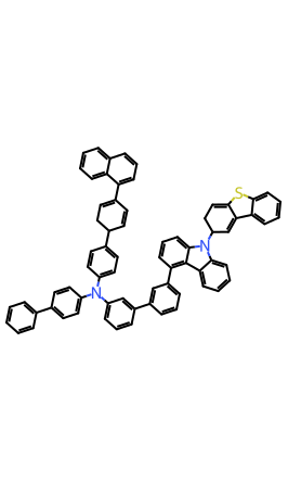 C1=CC(c2ccc(N(c3ccc(-c4ccccc4)cc3)c3cccc(-c4cccc(-c5cccc6c5c5ccccc5n6C5C=c6c(sc7ccccc67)=CC5)c4)c3)cc2)CC=C1c1cccc2ccccc12